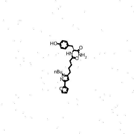 CCCCn1nc(-c2ccco2)cc1CCCCC(=O)N[C@@H](Cc1ccc(O)cc1)C(N)=O